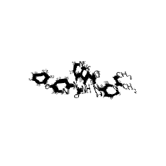 C=CC(=C)N1CCCC(NC(=O)c2sc3nccc4c3c2NC(=O)N4c2ccc(Oc3ccccc3)cn2)C1